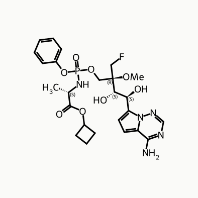 CO[C@](CF)(COP(=O)(N[C@@H](C)C(=O)OC1CCC1)Oc1ccccc1)[C@@H](O)[C@@H](O)c1ccc2c(N)ncnn12